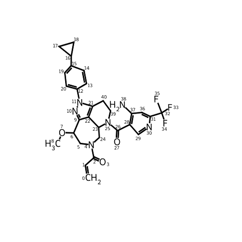 C=CC(=O)N1CC(OC)c2nn(-c3ccc(C4CC4)cc3)c3c2C(C1)N(C(=O)c1cnc(C(F)(F)F)cc1N)CC3